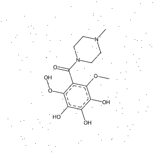 COc1c(O)c(O)c(O)c(OO)c1C(=O)N1CCN(C)CC1